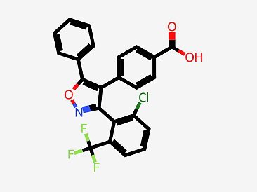 O=C(O)c1ccc(-c2c(-c3c(Cl)cccc3C(F)(F)F)noc2-c2ccccc2)cc1